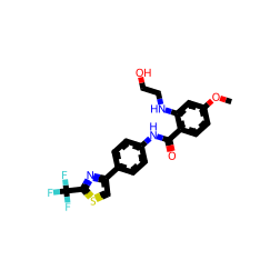 COc1ccc(C(=O)Nc2ccc(-c3csc(C(F)(F)F)n3)cc2)c(NCCO)c1